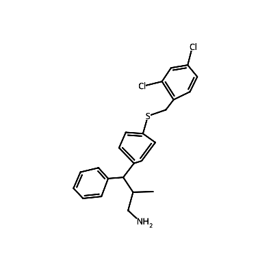 CC(CN)C(c1ccccc1)c1ccc(SCc2ccc(Cl)cc2Cl)cc1